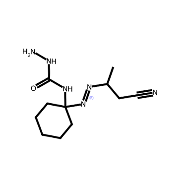 CC(CC#N)/N=N/C1(NC(=O)NN)CCCCC1